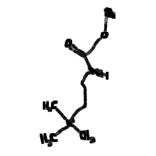 CC(C)(C)OC(=O)NCC[N+](C)(C)C